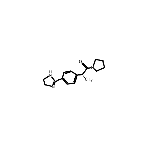 [CH2][C@@H](C(=O)N1CCCC1)c1ccc(C2=NCCN2)cc1